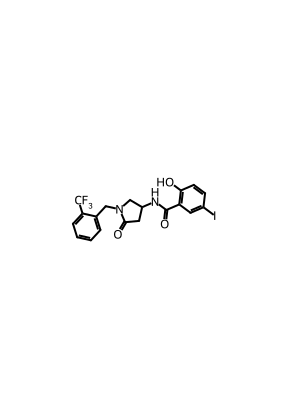 O=C(NC1CC(=O)N(Cc2ccccc2C(F)(F)F)C1)c1cc(I)ccc1O